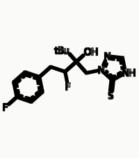 CC(C)(C)C(O)(Cn1nc[nH]c1=S)C(F)Cc1ccc(F)cc1